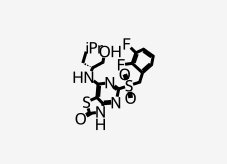 CC(C)C[C@H](CO)Nc1nc(S(=O)(=O)Cc2cccc(F)c2F)nc2[nH]c(=O)sc12